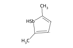 C[C]1=[C]C=[C](C)[SbH]1